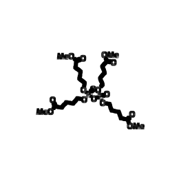 COC(=O)CCCCOP(=O)(OCCCCC(=O)OC)OP(=O)(OCCCCC(=O)OC)OCCCCC(=O)OC